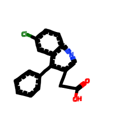 O=C(O)Cc1cnc2ccc(Cl)cc2c1-c1ccccc1